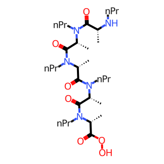 CCCN[C@H](C)C(=O)N(CCC)[C@H](C)C(=O)N(CCC)[C@H](C)C(=O)N(CCC)[C@H](C)C(=O)N(CCC)[C@H](C)C(=O)OO